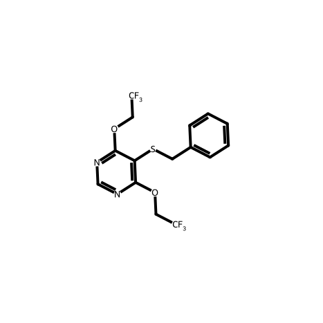 FC(F)(F)COc1ncnc(OCC(F)(F)F)c1SCc1ccccc1